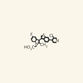 CC1=C(c2csc3cc(-c4ccncc4Cl)ccc23)C2=CC(F)=CCC2N1CC(=O)O